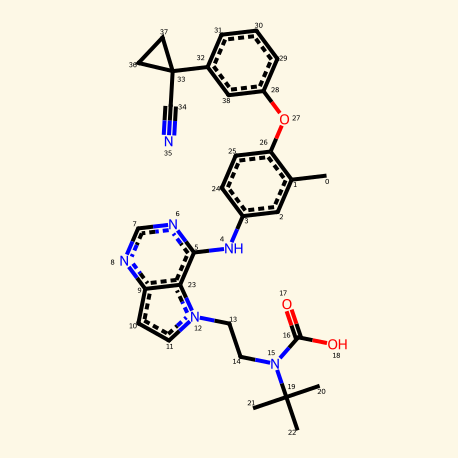 Cc1cc(Nc2ncnc3ccn(CCN(C(=O)O)C(C)(C)C)c23)ccc1Oc1cccc(C2(C#N)CC2)c1